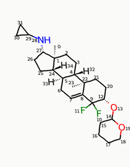 C[C@]12CC[C@H]3[C@@H](CC=C4C(F)(F)[C@@H](OC5CCCCO5)CC[C@@]43C)[C@@H]1CC[C@@H]2NC1CC1